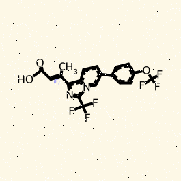 C/C(=C\C(=O)O)c1nc(C(F)(F)F)n2cc(-c3ccc(OC(F)(F)F)cc3)ccc12